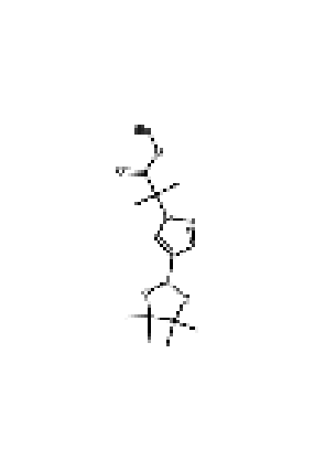 CC(C)(C)OC(=O)C(C)(C)n1cc(B2OC(C)(C)C(C)(C)O2)cn1